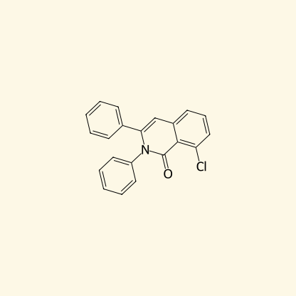 O=c1c2c(Cl)cccc2cc(-c2ccccc2)n1-c1ccccc1